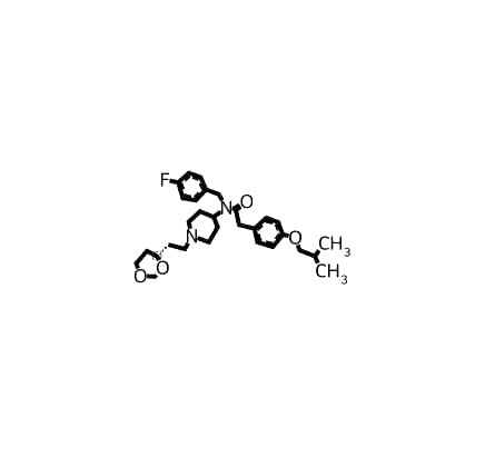 CC(C)COc1ccc(CC(=O)N(Cc2ccc(F)cc2)C2CCN(CC[C@H]3CCOCO3)CC2)cc1